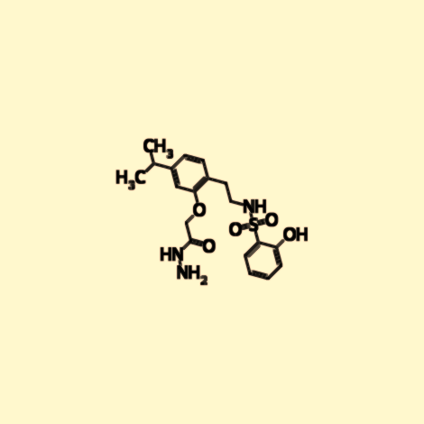 CC(C)c1ccc(CCNS(=O)(=O)c2ccccc2O)c(OCC(=O)NN)c1